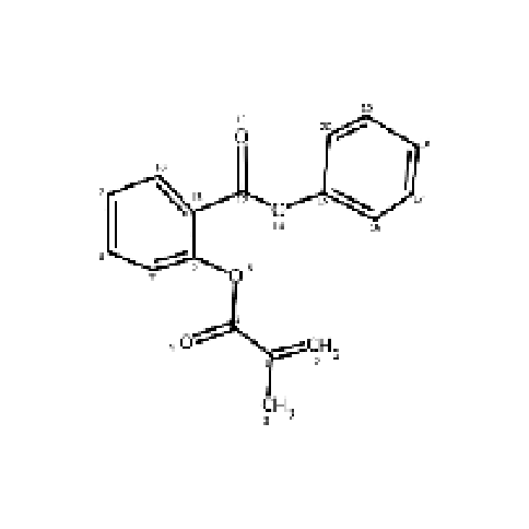 C=C(C)C(=O)Oc1ccccc1C(=O)Oc1ccccc1